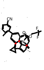 C=C1C=CN=c2cc(-c3cc(C#N)ccc3C)cc(C3CC3)c2=C1/C1=C\[C@@H](C)CN(C(=O)OCC(C)(F)F)CCC1